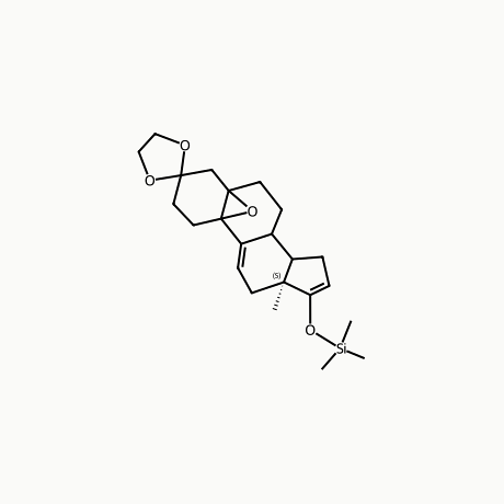 C[C@]12CC=C3C(CCC45CC6(CCC34O5)OCCO6)C1CC=C2O[Si](C)(C)C